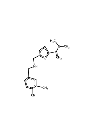 C=C(c1ccc(CNCc2ccc(C#N)c(C)c2)s1)N(C)C